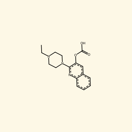 CCN1CCN(c2nc3ccccc3cc2OC(=O)O)CC1